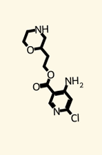 Nc1cc(Cl)ncc1C(=O)OCCC1CNCCO1